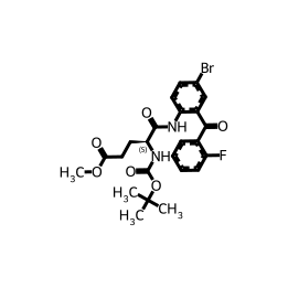 COC(=O)CC[C@H](NC(=O)OC(C)(C)C)C(=O)Nc1ccc(Br)cc1C(=O)c1ccccc1F